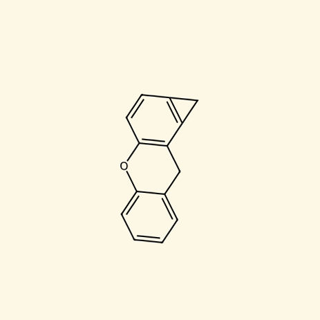 c1ccc2c(c1)Cc1c(ccc3c1C3)O2